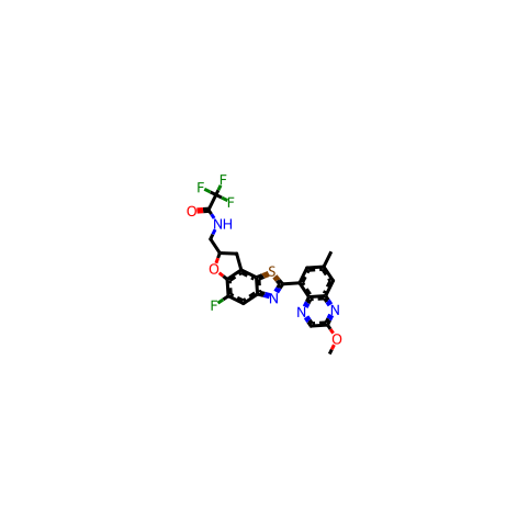 COc1cnc2c(-c3nc4cc(F)c5c(c4s3)CC(CNC(=O)C(F)(F)F)O5)cc(C)cc2n1